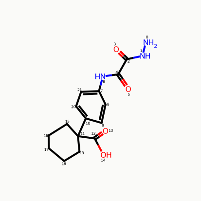 NNC(=O)C(=O)Nc1ccc(C2(C(=O)O)CCCCC2)cc1